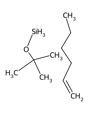 C=CCCCC.CC(C)(C)O[SiH3]